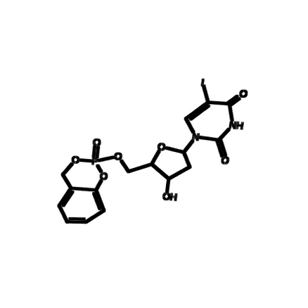 O=c1[nH]c(=O)n(C2CC(O)C(COP3(=O)OCc4ccccc4O3)O2)cc1I